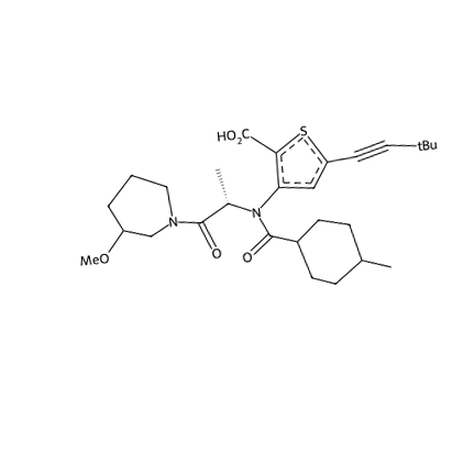 COC1CCCN(C(=O)[C@H](C)N(C(=O)C2CCC(C)CC2)c2cc(C#CC(C)(C)C)sc2C(=O)O)C1